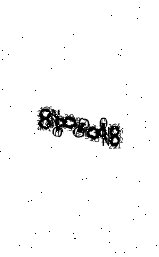 O=C1c2cc(S(=O)(=O)c3ccc4c(c3)C(=O)N3C4=Nc4cccc5cccc3c45)ccc2C2=Nc3cccc4cccc(c34)N12